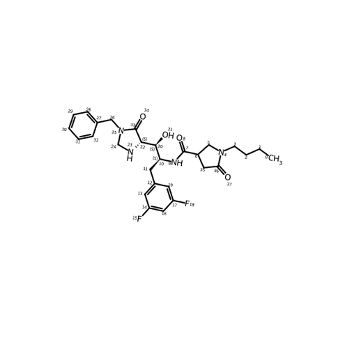 CCCCN1CC(C(=O)N[C@@H](Cc2cc(F)cc(F)c2)[C@H](O)[C@@H]2NCN(Cc3ccccc3)C2=O)CC1=O